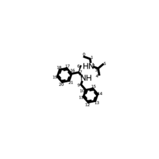 CCNC(C)C.C[C@@H](NCc1ccccc1)c1ccccc1